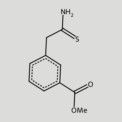 COC(=O)c1cccc(CC(N)=S)c1